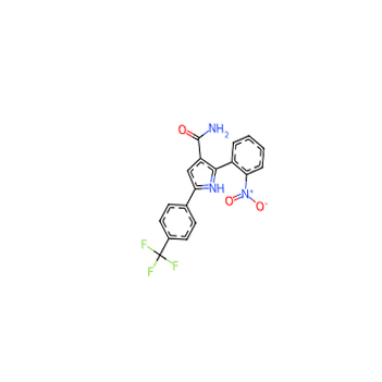 NC(=O)c1cc(-c2ccc(C(F)(F)F)cc2)[nH]c1-c1ccccc1[N+](=O)[O-]